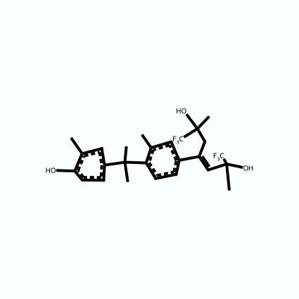 Cc1cc(C(C)(C)c2ccc(/C(=C/C(C)(O)C(F)(F)F)CC(C)(O)C(F)(F)F)cc2C)ccc1O